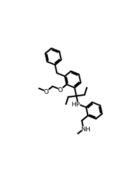 CCC(CC)(Pc1ccccc1CNC)c1cccc(Cc2ccccc2)c1OCOC